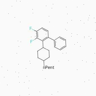 CCCCCC1CCC(c2c(-c3ccccc3)ccc(F)c2F)CC1